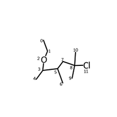 CCOC(C)C(C)CC(C)(C)Cl